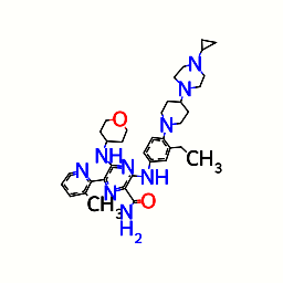 CCc1cc(Nc2nc(NC3CCOCC3)c(-c3ncccc3C)nc2C(N)=O)ccc1N1CCC(N2CCN(C3CC3)CC2)CC1